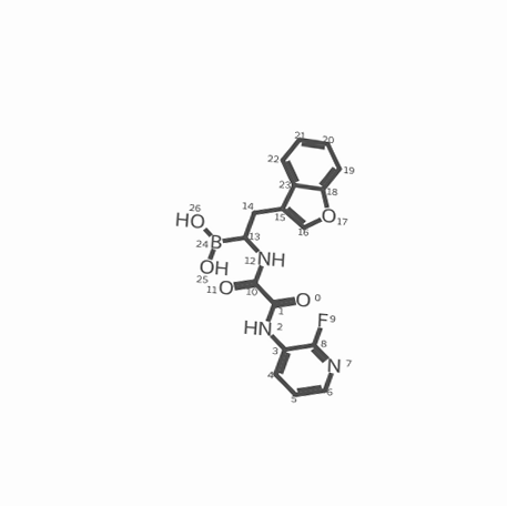 O=C(Nc1cccnc1F)C(=O)NC(Cc1coc2ccccc12)B(O)O